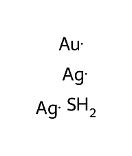 S.[Ag].[Ag].[Au]